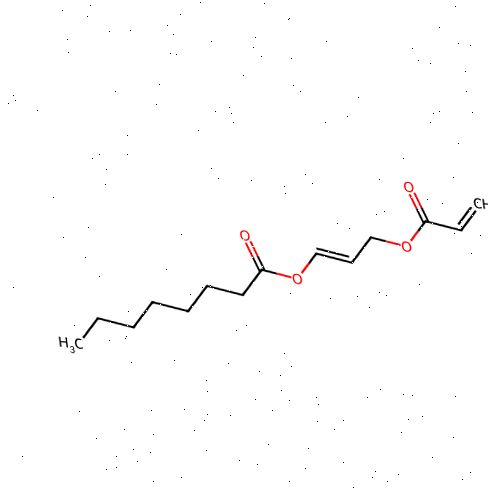 C=CC(=O)OCC=COC(=O)CCCCCCC